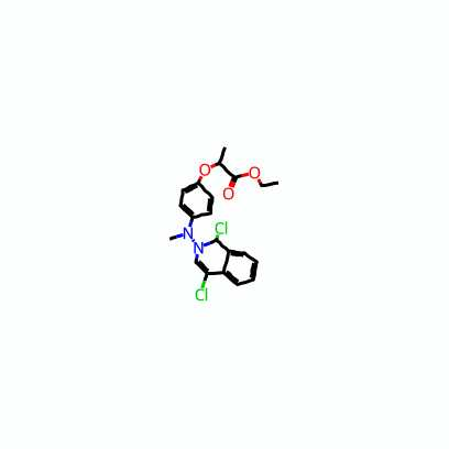 CCOC(=O)C(C)Oc1ccc(N(C)N2C=C(Cl)c3ccccc3C2Cl)cc1